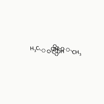 CCC[C@H]1CC[C@H](c2ccc(-c3cc4ccccc4c(-c4c(O)c(-c5ccc([C@H]6CC[C@H](CCC)CC6)cc5)cc5ccccc45)c3O)cc2)CC1